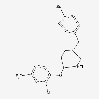 CC(C)(C)c1ccc(CN2CCC(Oc3ccc(C(F)(F)F)cc3Cl)CC2)cc1.Cl